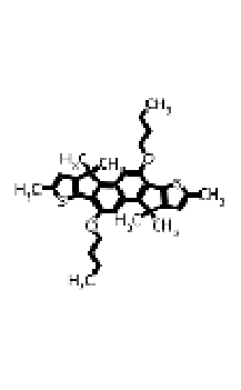 CCCCOc1cc2c3c(c(OCCCC)cc2c2c1-c1sc(C)cc1C2(C)C)-c1sc(C)cc1C3(C)C